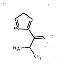 CC(C)C(=O)C1=NCC=[SH]1